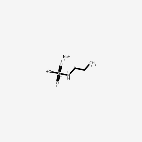 CCCNS(=O)(=O)O.[NaH]